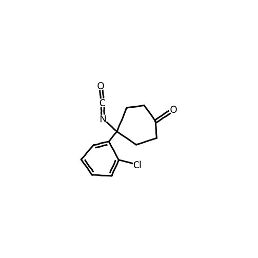 O=C=NC1(c2ccccc2Cl)CCC(=O)CC1